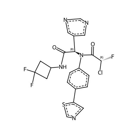 O=C(NC1CC(F)(F)C1)[C@@H](c1cncnc1)N(C(=O)[C@H](F)Cl)c1ccc(-c2cncs2)cc1